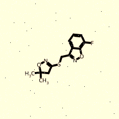 CC1(C)CC(SCc2noc3c(F)cccc23)=NO1